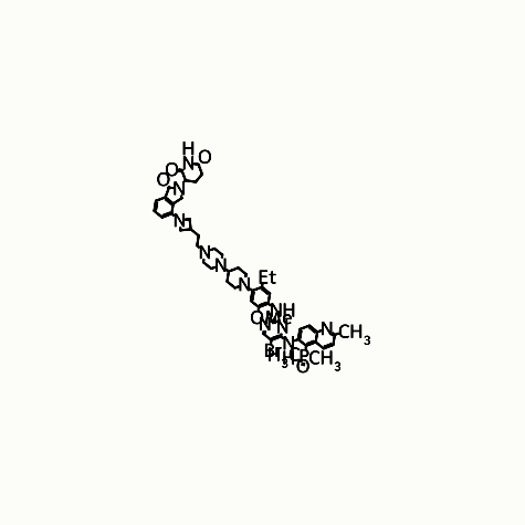 CCc1cc(Nc2ncc(Br)c(Nc3ccc4nc(C)ccc4c3P(C)(C)=O)n2)c(OC)cc1N1CCC(N2CCN(CCC3CN(c4cccc5c4CN(C4CCC(=O)NC4=O)C5=O)C3)CC2)CC1